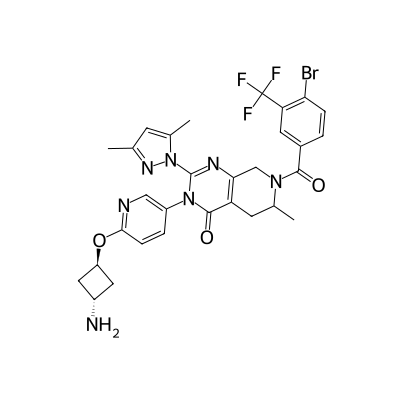 Cc1cc(C)n(-c2nc3c(c(=O)n2-c2ccc(O[C@H]4C[C@H](N)C4)nc2)CC(C)N(C(=O)c2ccc(Br)c(C(F)(F)F)c2)C3)n1